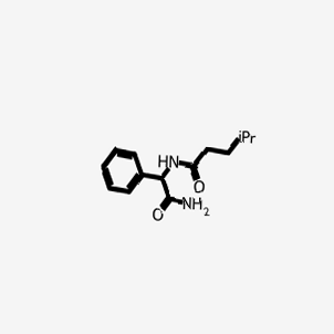 CC(C)CCC(=O)NC(C(N)=O)c1ccccc1